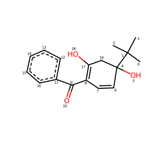 CC(C)(C)C1(O)C=CC(C(=O)c2ccccc2)=C(O)C1